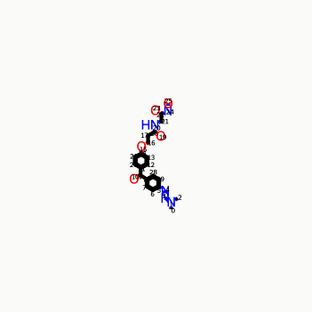 CN(C)/N=N/c1ccc(C(=O)c2ccc(OCCC(=O)NCC(=O)N=O)cc2)cc1